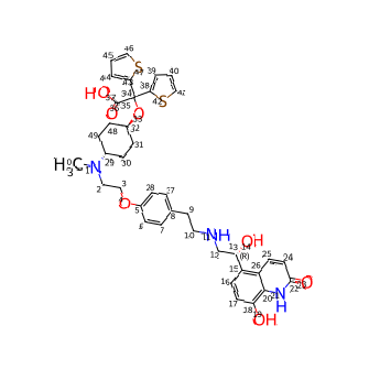 CN(CCOc1ccc(CCNC[C@H](O)c2ccc(O)c3[nH]c(=O)ccc23)cc1)[C@H]1CC[C@H](OC(C(=O)O)(c2cccs2)c2cccs2)CC1